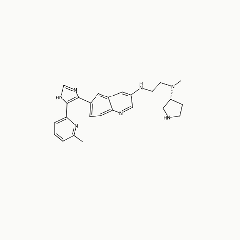 Cc1cccc(-c2[nH]cnc2-c2ccc3ncc(NCCN(C)[C@@H]4CCNC4)cc3c2)n1